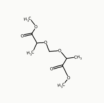 COC(=O)C(C)OCOC(C)C(=O)OC